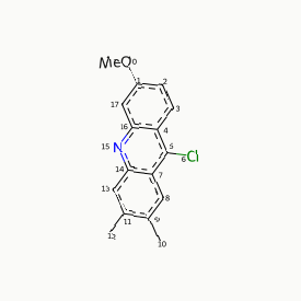 COc1ccc2c(Cl)c3cc(C)c(C)cc3nc2c1